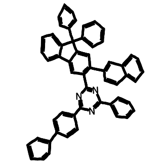 c1ccc(-c2ccc(-c3nc(-c4ccccc4)nc(-c4cc5c(cc4-c4ccc6ccccc6c4)C(c4ccccc4)(c4ccccc4)c4ccccc4-5)n3)cc2)cc1